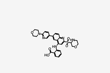 O=C(O)c1ccccc1Nc1cc(S(=O)(=O)C2COCCN2)nc2ccc(-c3ccc(N4CCOCC4)nc3)cc12